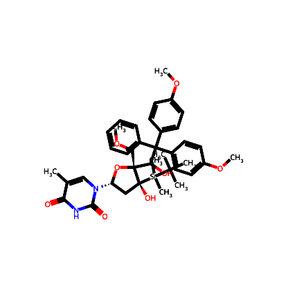 COC[C@]1(C(O)C(c2ccccc2)(c2ccc(OC)cc2)c2ccc(OC)cc2)O[C@@H](n2cc(C)c(=O)[nH]c2=O)C[C@@]1(O)[Si](C)(C)C(C)(C)C